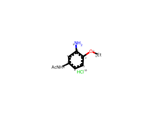 CCOc1ccc(NC(C)=O)cc1N.Cl